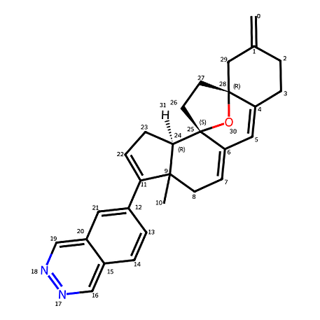 C=C1CCC2=CC3=CCC4(C)C(c5ccc6cnncc6c5)=CC[C@H]4[C@@]34CC[C@]2(C1)O4